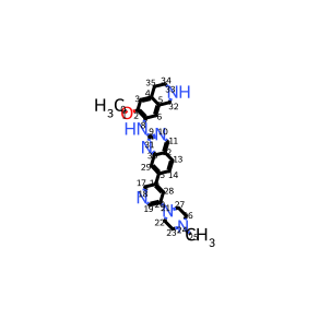 COc1cc2c(cc1Nc1ncc3ccc(-c4cncc(N5CCN(C)CC5)c4)cc3n1)CNCC2